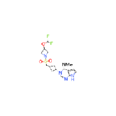 CNC1c2cc[nH]c2N=CN1[C@H]1C[C@H](CS(=O)(=O)N2CC(OC(F)F)C2)C1